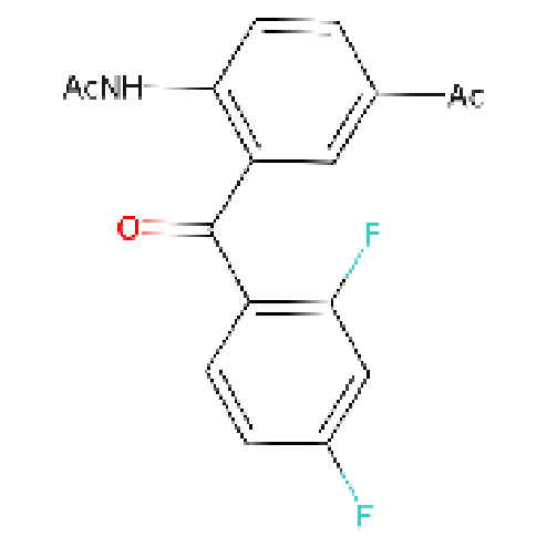 CC(=O)Nc1ccc(C(C)=O)cc1C(=O)c1ccc(F)cc1F